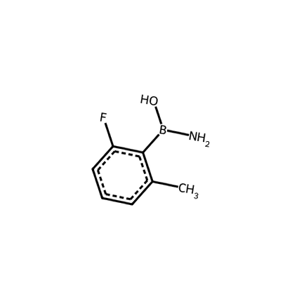 Cc1cccc(F)c1B(N)O